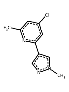 Cn1cc(-c2cc(Cl)cc(C(F)(F)F)n2)cn1